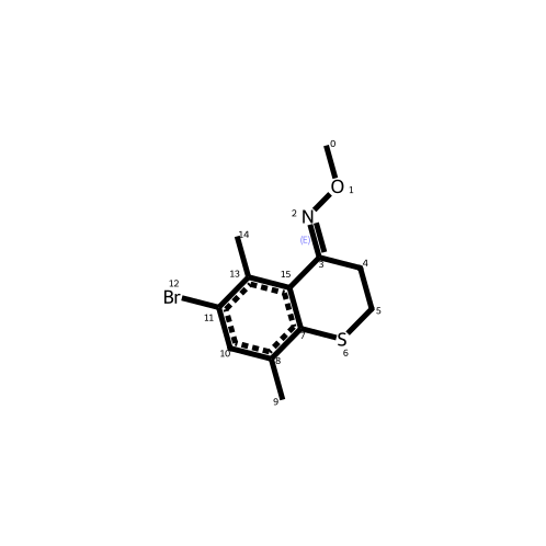 CO/N=C1\CCSc2c(C)cc(Br)c(C)c21